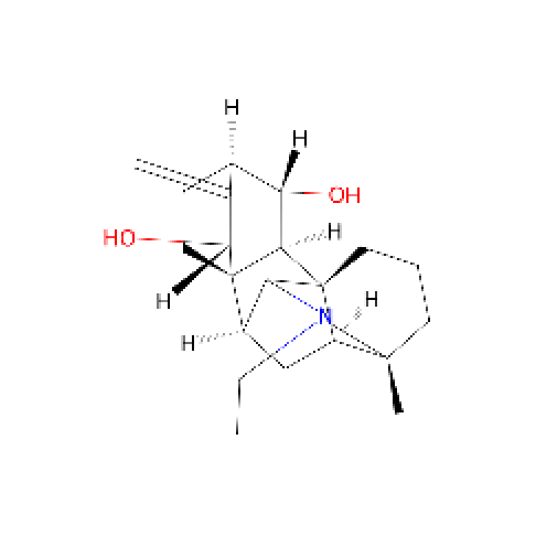 C=C1[C@H]2CC[C@]3([C@@H]1O)[C@@H]1C[C@@H]4[C@@]5(C)CCC[C@@]4(C1N(CC)C5)[C@@H]3[C@H]2O